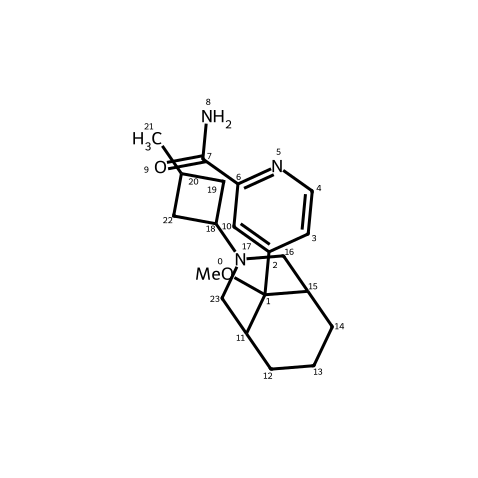 COC1(c2ccnc(C(N)=O)c2)C2CCCC1CN(C1CC(C)C1)C2